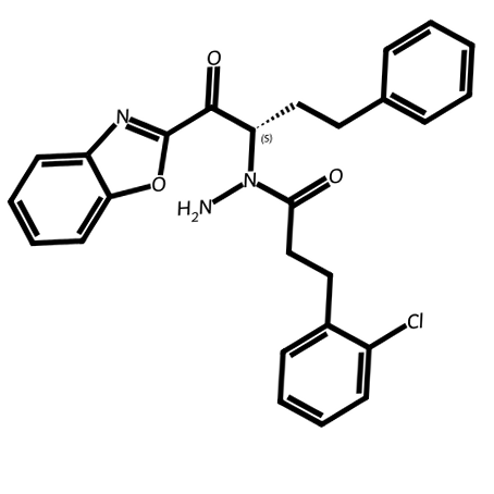 NN(C(=O)CCc1ccccc1Cl)[C@@H](CCc1ccccc1)C(=O)c1nc2ccccc2o1